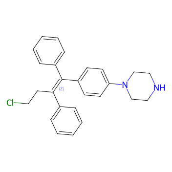 ClCC/C(=C(\c1ccccc1)c1ccc(N2CCNCC2)cc1)c1ccccc1